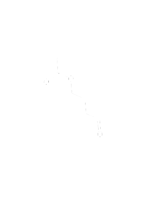 CCC(=O)OCCCC=O